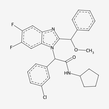 COC(c1ccccc1)c1nc2cc(F)c(F)cc2n1C(C(=O)NC1CCCC1)c1cccc(Cl)c1